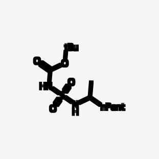 CCCCCC(C)NS(=O)(=O)NC(=O)OC(C)(C)C